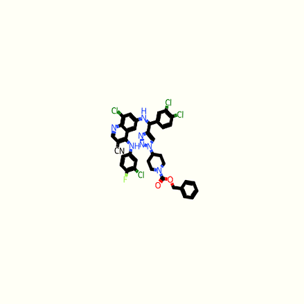 N#Cc1cnc2c(Cl)cc(NC(c3ccc(Cl)c(Cl)c3)c3cn(C4CCN(C(=O)OCc5ccccc5)CC4)nn3)cc2c1Nc1ccc(F)c(Cl)c1